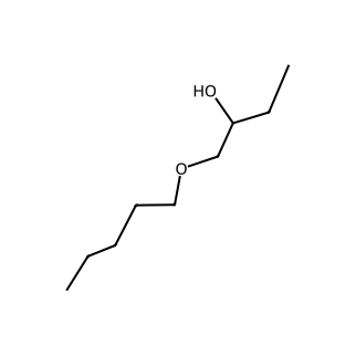 CCCCCOCC(O)CC